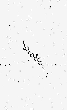 CCCCC1CCC(COc2ccc(-c3ccc(-c4ccc(CCC)cc4)c(F)c3F)cc2)C=C1F